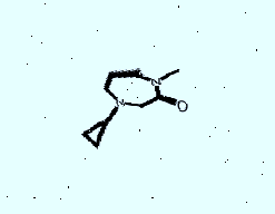 CN1CCCN(C2CC2)CC1=O